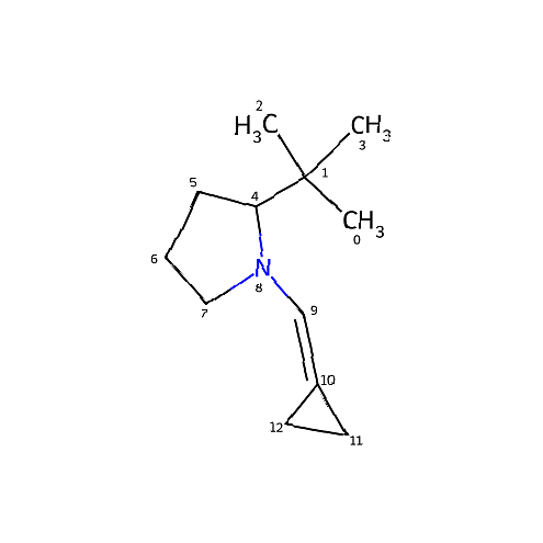 CC(C)(C)C1CCCN1C=C1CC1